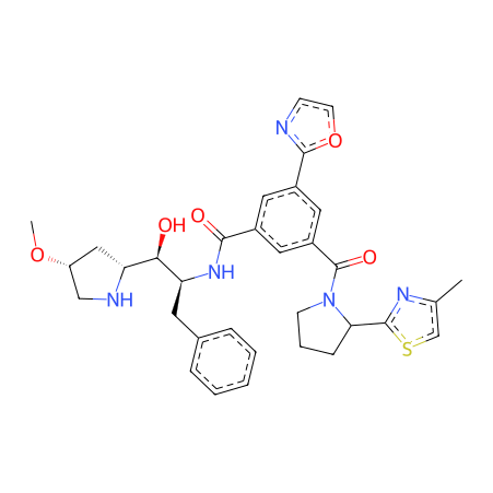 CO[C@H]1CN[C@@H]([C@@H](O)[C@H](Cc2ccccc2)NC(=O)c2cc(C(=O)N3CCCC3c3nc(C)cs3)cc(-c3ncco3)c2)C1